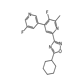 Cc1nc(-c2noc(C3CCCCC3)n2)cc(-c2cncc(F)c2)c1F